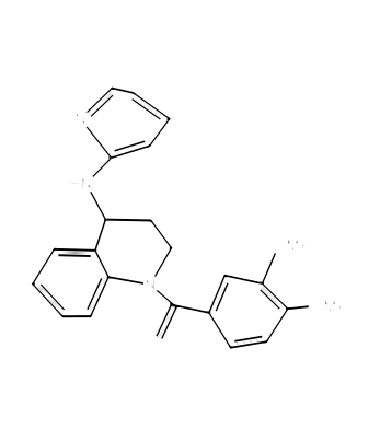 COc1ccc(C(=O)N2CCC(Nc3ccccn3)c3ccccc32)cc1OC